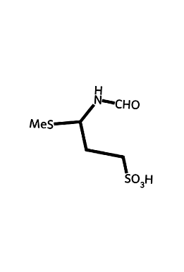 CSC(CCS(=O)(=O)O)NC=O